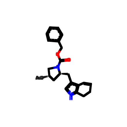 CC(=O)O[C@H]1C[C@@H](Cc2c[nH]c3c2C=CCC3)N(C(=O)OCc2ccccc2)C1